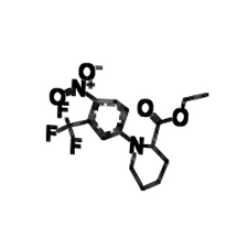 CCOC(=O)C1CCCCN1c1ccc([N+](=O)[O-])c(C(F)(F)F)c1